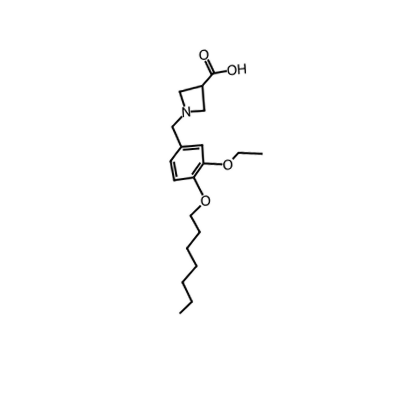 CCCCCCCOc1ccc(CN2CC(C(=O)O)C2)cc1OCC